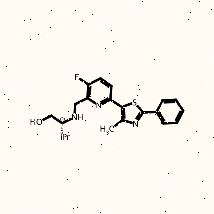 Cc1nc(-c2ccccc2)sc1-c1ccc(F)c(CN[C@@H](CO)C(C)C)n1